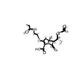 CC(=O)NCCSC1=C(C(=O)O)N2C(=O)[C@H]([C@@H](C)OC=O)[C@H]2C1